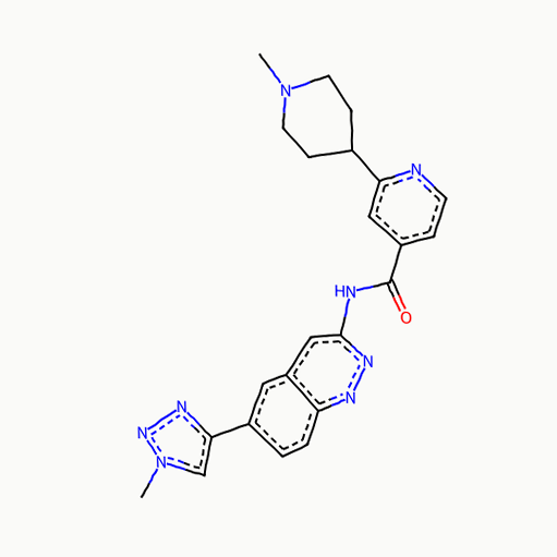 CN1CCC(c2cc(C(=O)Nc3cc4cc(-c5cn(C)nn5)ccc4nn3)ccn2)CC1